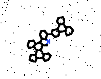 c1ccc2c(c1)c1ccccc1c1cc(-c3cccc4c3ncc3c4c4ccccc4c4c5ccccc5c5ccccc5c34)ccc21